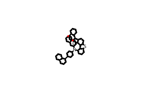 c1ccc2cc(N(c3ccc(-c4cccc5ccccc45)cc3)c3cccc4sc5ccc6c(oc7ccc8ccccc8c76)c5c34)ccc2c1